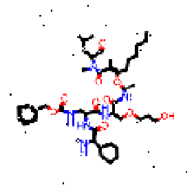 CCCCCC/C(O[C@@H](C)NC(=O)C(COCCCO)NC(=O)C(CNC(=O)OCc1ccccc1)NC(=O)C(NC)C1CCCCC1)=C(\C)C(=O)N(C)C(C=O)CC(C)C